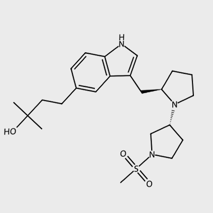 CC(C)(O)CCc1ccc2[nH]cc(C[C@H]3CCCN3[C@@H]3CCN(S(C)(=O)=O)C3)c2c1